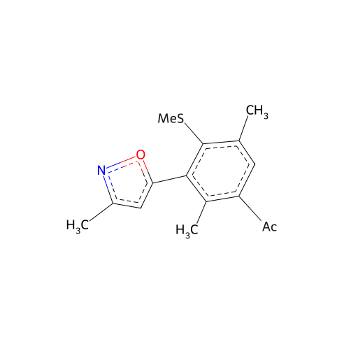 CSc1c(C)cc(C(C)=O)c(C)c1-c1cc(C)no1